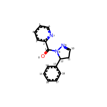 O=C(c1ccccn1)N1N=CCC1c1ccccc1